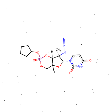 C[C@@]1(N=[N+]=[N-])[C@@H]2OP(=O)(OC3CCCC3)OC[C@H]2O[C@H]1n1ccc(=O)[nH]c1=O